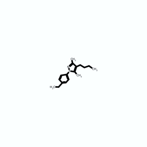 [CH2]Cc1ccc(-n2nc(C)c(CCCC)c2C)cc1